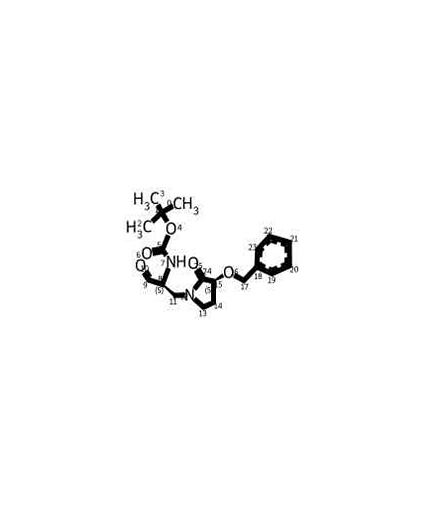 CC(C)(C)OC(=O)N[C@H](C=O)CN1CC[C@H](OCc2ccccc2)C1=O